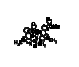 COC1(c2cccc(-c3cn(C)c4cnc(N(C(N)=O)N(C(N)=O)c5cc6c(-c7cccc(C8(OC)CCOC8)n7)cn(C)c6cn5)cc34)n2)CCOC1